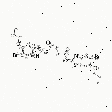 CCCOc1cc2sc(SC(=O)CCC(=O)Sc3nc4cc(Br)c(OCCC)cc4s3)nc2cc1Br